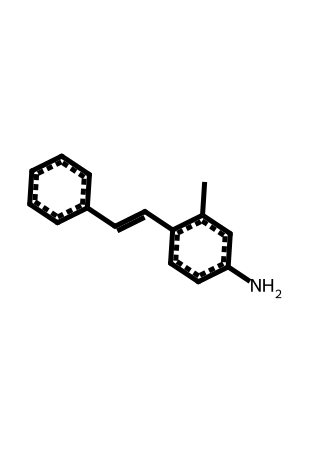 Cc1cc(N)ccc1C=Cc1ccccc1